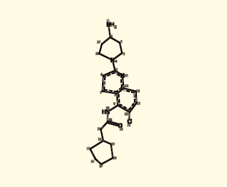 NC1CCN(c2ccc3c(NC(=O)CC4CCCCC4)c(Cl)ccc3n2)CC1